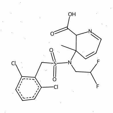 CC1(N(CC(F)F)S(=O)(=O)Cc2c(Cl)cccc2Cl)C=CC=NC1C(=O)O